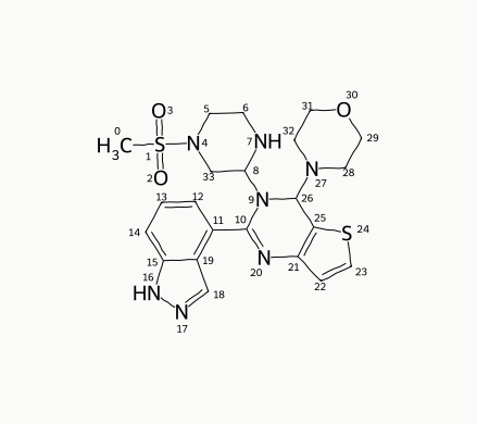 CS(=O)(=O)N1CCNC(N2C(c3cccc4[nH]ncc34)=Nc3ccsc3C2N2CCOCC2)C1